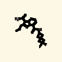 COCc1nn2c(C(=O)NC3CC4(C3)CC(F)(F)C4)ccnc2c1C(N)=O